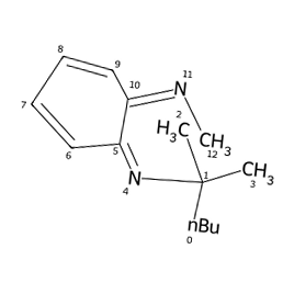 CCCCC(C)(C)/N=C1/C=CC=C/C1=N/C